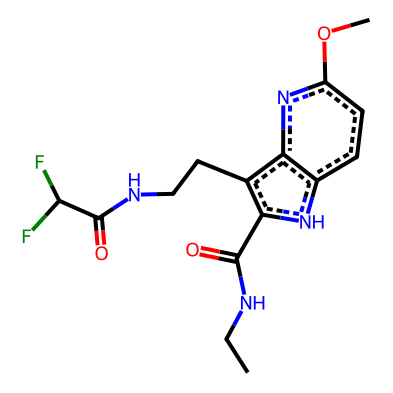 CCNC(=O)c1[nH]c2ccc(OC)nc2c1CCNC(=O)C(F)F